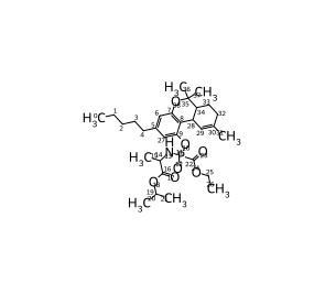 CCCCCc1cc2c(c(OP(=O)(NC(C)C(=O)OC(C)C)C(=O)OCC)c1)C1C=C(C)CCC1C(C)(C)O2